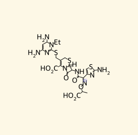 CCN1C(SCC2=C(C(=O)O)N3C(=O)C(NC(=O)/C(=N\OC(C)C(=O)O)c4csc(N)n4)[C@@H]3SC2)=NC(N)=CC1N